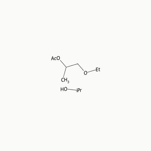 CC(C)O.CCOCC(C)OC(C)=O